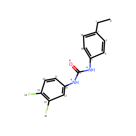 CCc1ccc(NC(=O)Nc2ccc(F)c(F)c2)cc1